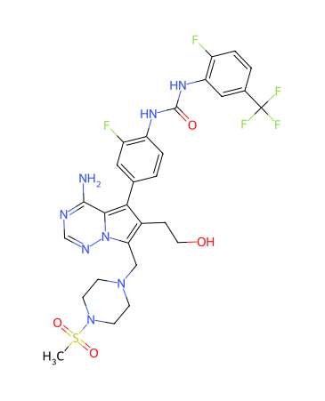 CS(=O)(=O)N1CCN(Cc2c(CCO)c(-c3ccc(NC(=O)Nc4cc(C(F)(F)F)ccc4F)c(F)c3)c3c(N)ncnn23)CC1